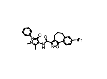 CCCc1ccc2c(c1)CCCc1c(C(=O)Nc3c(C)n(C)n(-c4ccccc4)c3=O)noc1-2